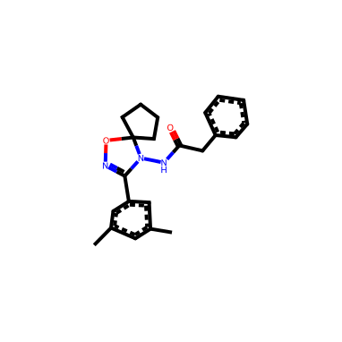 Cc1cc(C)cc(C2=NOC3(CCCC3)N2NC(=O)Cc2ccccc2)c1